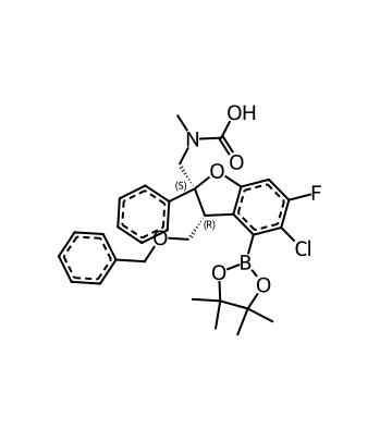 CN(C[C@]1(c2ccccc2)Oc2cc(F)c(Cl)c(B3OC(C)(C)C(C)(C)O3)c2[C@@H]1COCc1ccccc1)C(=O)O